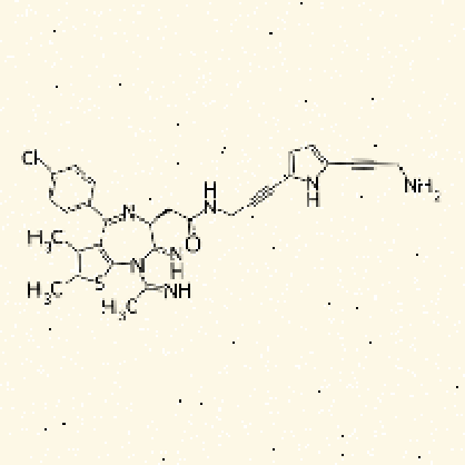 CC(=N)N1C(=N)[C@H](CC(=O)NCC#Cc2ccc(C#CCN)[nH]2)N=C(c2ccc(Cl)cc2)c2c1sc(C)c2C